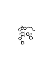 C\C=C/C=C\C=C\c1ccc2c(c1)oc1cccc(-c3nc(-c4cccc(-c5ccccc5)c4)nc(-c4ccc5oc6ccccc6c5c4)n3)c12